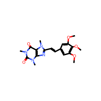 COc1cc(C=Cc2nc3c(c(=O)n(C)c(=O)n3C)n2C)cc(OC)c1OC